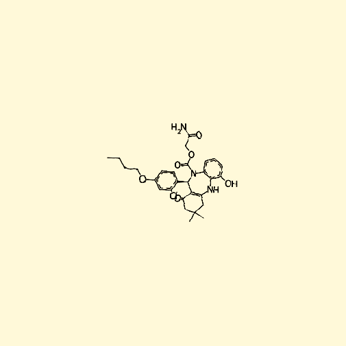 CCCCOc1ccc([C@@H]2C3=C(CC(C)(C)CC3=O)Nc3c(O)cccc3N2C(=O)OCC(N)=O)c(Cl)c1